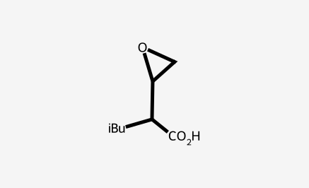 CCC(C)C(C(=O)O)C1CO1